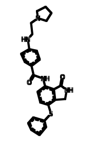 O=C(Nc1ccc(Sc2ccccc2)c2c1C(=O)NC2)c1ccc(NCCN2CCCC2)cc1